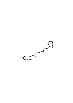 CC1=C(/C=C/C(C)=C/C=C/C(C)=C/C(=O)O)[C@@H](C)CCC1